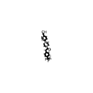 C#Cc1ccc(N2CCN(C(=O)Cc3ccc(C(F)(F)F)cc3)CC2)nn1